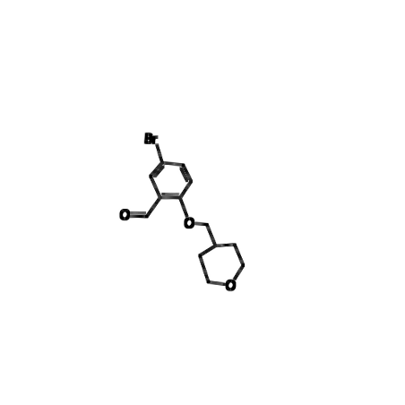 O=Cc1cc(Br)ccc1OCC1CCOCC1